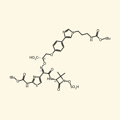 CC(C)(C)OC(=O)NCCCn1cnc(-c2ccc(OC[C@H](O/N=C(\C(=O)N[C@@H]3C(=O)N(OS(=O)(=O)O)C3(C)C)c3csc(NC(=O)OC(C)(C)C)n3)C(=O)O)cc2)c1